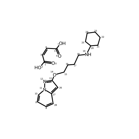 O=C(O)/C=C\C(=O)O.c1ccn2nc(OCCCCNC3CCCCC3)cc2c1